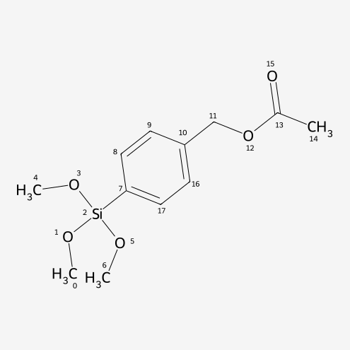 CO[Si](OC)(OC)c1ccc(COC(C)=O)cc1